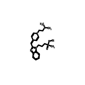 CCOP(C)(=O)CCC[n+]1c(C=C2C=CN(CCN(C)C)C=C2)sc2ccccc21